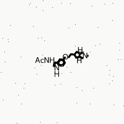 CC(=O)Nc1c[nH]c2ccc(OCCC3C[C@@H]4CN(C)C[C@@H]4C3)cc12